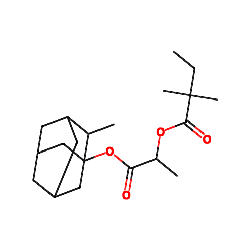 CCC(C)(C)C(=O)OC(C)C(=O)OC12CC3CC(CC(C3)C1C)C2